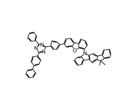 CC1(C)c2ccccc2-c2cc3c(cc21)c1ccccc1n3-c1cccc2c1oc1cc(-c3ccc(-c4nc(-c5ccccc5)nc(-c5ccc(-c6ccccc6)cc5)n4)cc3)ccc12